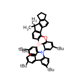 CC(C)(C)c1cc(-c2cc(C(C)(C)C)ccc2N2c3ccc(C(C)(C)C)cc3B3c4ccc5c(c4Oc4cc(C(C)(C)C)cc2c43)-c2ccc3c(c2C5(C)C)CCC3)cc(C(C)(C)C)c1